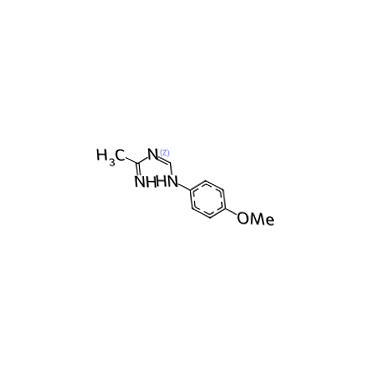 COc1ccc(N/C=N\C(C)=N)cc1